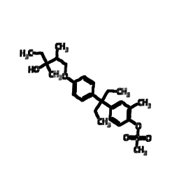 CCC(CC)(c1ccc(OCC(C)C(C)(O)CC)cc1)c1ccc(OS(C)(=O)=O)c(C)c1